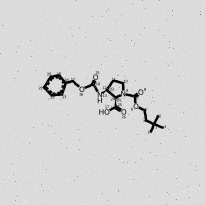 CC(C)(C)CCOC(=O)N1CC[C@H](NC(=O)OCc2ccccc2)[C@@H]1C(=O)O